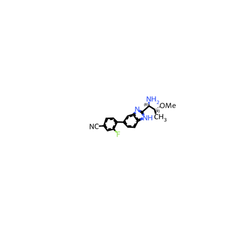 CO[C@H](C)[C@H](N)c1nc2cc(-c3ccc(C#N)cc3F)ccc2[nH]1